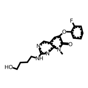 Cn1c(=O)c(Oc2ccccc2F)cc2cnc(NCCCCO)nc21